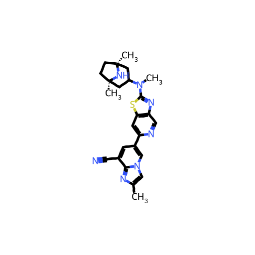 Cc1cn2cc(-c3cc4sc(N(C)C5C[C@]6(C)CC[C@](C)(C5)N6)nc4cn3)cc(C#N)c2n1